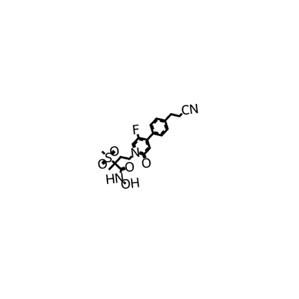 CC(CCn1cc(F)c(-c2ccc(CCC#N)cc2)cc1=O)(C(=O)NO)S(C)(=O)=O